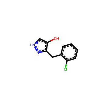 Oc1c[nH]nc1Cc1ccccc1Cl